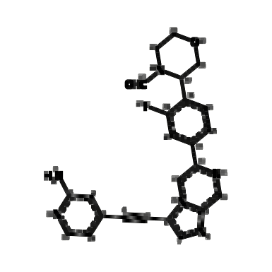 Nc1cc(C#Cc2cnc3cnc(-c4ccc(C5COCCN5C=O)c(F)c4)cn23)ccn1